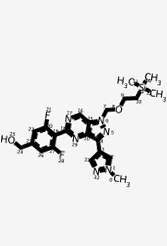 Cn1cc(-c2nn(COCC[Si](C)(C)C)c3cnc(-c4c(F)cc(CO)cc4F)nc23)cn1